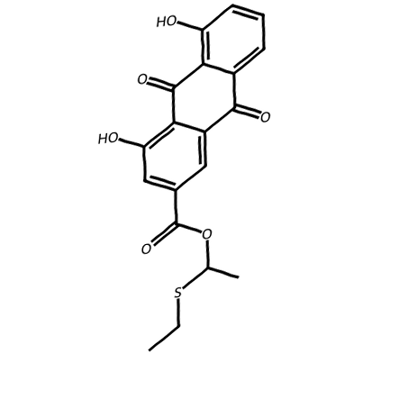 CCSC(C)OC(=O)c1cc(O)c2c(c1)C(=O)c1cccc(O)c1C2=O